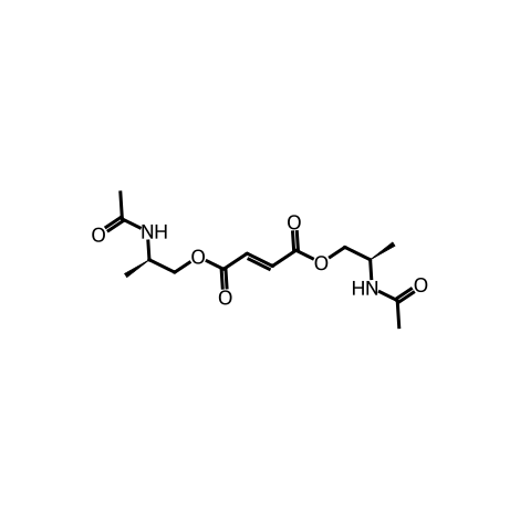 CC(=O)N[C@H](C)COC(=O)/C=C/C(=O)OC[C@@H](C)NC(C)=O